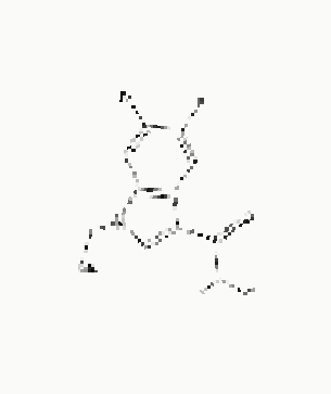 CC(C)(C)Cn1cc(C(=O)C(F)F)c2cc(F)c(Br)cc21